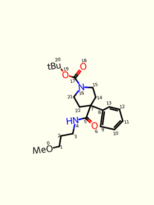 COCCCNC(=O)C1(c2ccccc2)CCN(C(=O)OC(C)(C)C)CC1